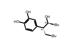 CC(C)(C)C[C@H](c1ccc(O)c(O)c1)[C@@H](O)C(C)(C)C